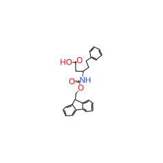 O=C(O)CC(CCc1ccccc1)NC(=O)OCC1c2ccccc2-c2ccccc21